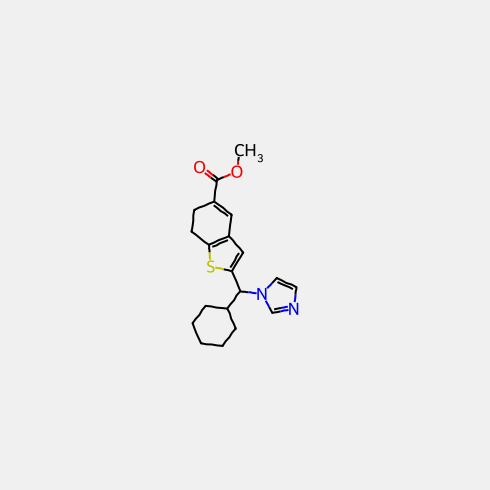 COC(=O)C1=Cc2cc(C(C3CCCCC3)n3ccnc3)sc2CC1